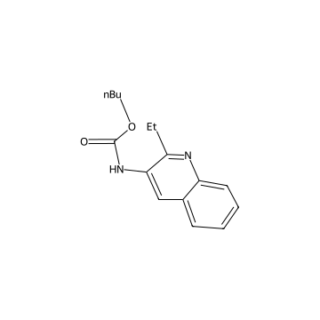 CCCCOC(=O)Nc1cc2ccccc2nc1CC